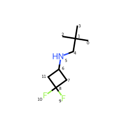 CC(C)(C)CNC1CC(F)(F)C1